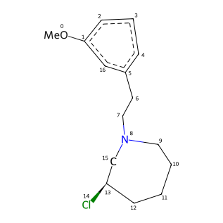 COc1cccc(CCN2CCCC[C@@H](Cl)C2)c1